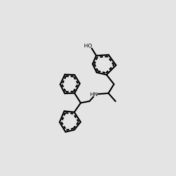 CC(Cc1ccc(O)cc1)NCC(c1ccccc1)c1ccccc1